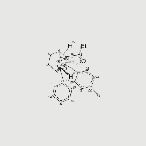 CCC(=O)[C@@H]1C2CCC(CN2C)[C@@H](c2ccccc2)[C@@H]1c1ccc(C)cc1